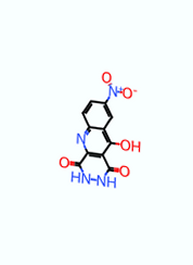 O=c1[nH][nH]c(=O)c2c(O)c3cc([N+](=O)[O-])ccc3nc12